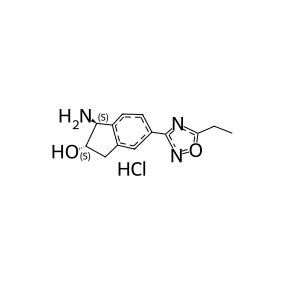 CCc1nc(-c2ccc3c(c2)C[C@H](O)[C@H]3N)no1.Cl